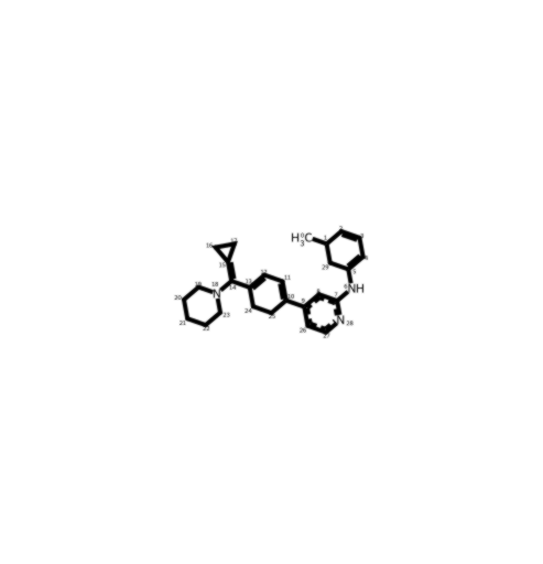 CC1C=CC=C(Nc2cc(C3=CC=C(C(=C4CC4)N4CCCCC4)CC3)ccn2)C1